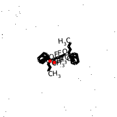 CCCCCC1(OC(=O)C(F)(F)C(F)(F)C(=O)OC2(CCCCC)C3CC4CC(C3)C(OCC)C2C4)C2CC3CC(C2)C(C)C1C3